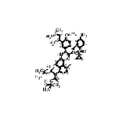 COc1ccc(C(Nc2ccc3c(N(C(=O)OC(C)(C)C)C(=O)OC(C)(C)C)ncc(F)c3c2)C(=O)N(C)Cc2cc(N)ccc2S(=O)(=O)C2CC2)cc1[C@@H](C)CN(C)C